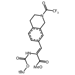 COC(=O)C(=Cc1ccc2c(c1)CN(C(=O)C(F)(F)F)CC2)NC(=O)OC(C)(C)C